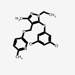 CCn1nc(C)c(COc2ccc(C)nc2)c1Sc1cc(Cl)cc(Cl)c1